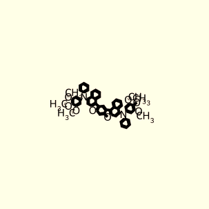 COc1cc(N(c2ccccc2)c2cc3oc4cc5oc6cc(N(c7ccccc7)c7cc(OC)c(OC)c(OC)c7)c7ccccc7c6c5cc4c3c3ccccc23)cc(OC)c1OC